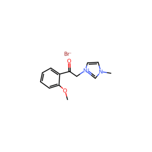 COc1ccccc1C(=O)C[n+]1ccn(C)c1.[Br-]